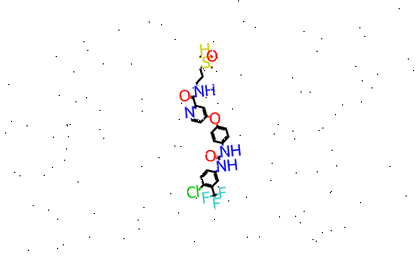 C[SH](C)(=O)CCCNC(=O)c1cc(Oc2ccc(NC(=O)Nc3ccc(Cl)c(C(F)(F)F)c3)cc2)ccn1